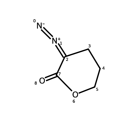 [N-]=[N+]=C1CCCOC1=O